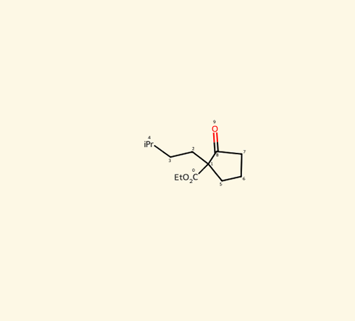 CCOC(=O)C1(CCC(C)C)CCCC1=O